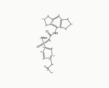 CNS(=O)(=NC(=O)Nc1c2c(cc3c1CCC3)CCC2)c1ccc(CN(C)C)cc1